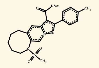 CNC(=O)c1c(-c2ccc(C)cc2)nn2cc3c(cc12)CCCCCN3S(C)(=O)=O